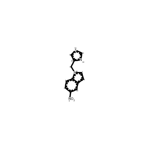 O=[N+]([O-])c1ccc2c(ccn2Cc2cscn2)c1